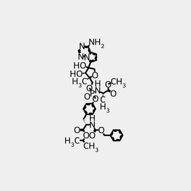 COC(=O)[C@H](C)NP(=O)(OC[C@@]1(C)OCC(O)(c2ccc3c(N)ncnn23)[C@@H]1O)Oc1ccc(C[C@H](NC(=O)OCc2ccccc2)C(=O)OC(C)C)cc1